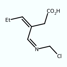 CC/C=C(\C=N/CCl)CC(=O)O